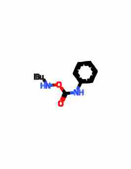 CCC(C)NOC(=O)Nc1ccccc1